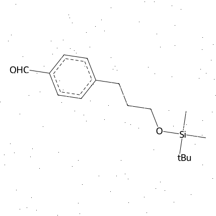 CC(C)(C)[Si](C)(C)OCCCc1ccc(C=O)cc1